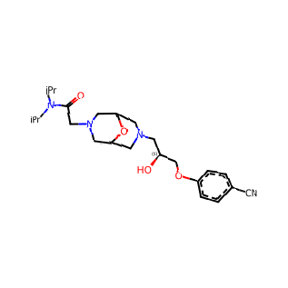 CC(C)N(C(=O)CN1CC2CN(C[C@H](O)COc3ccc(C#N)cc3)CC(C1)O2)C(C)C